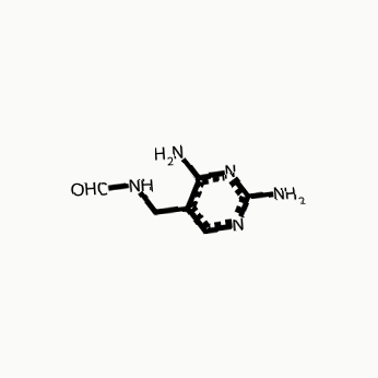 Nc1ncc(CNC=O)c(N)n1